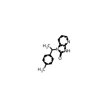 Cc1ccc(C(C)n2c(=O)[nH]c3ncccc32)cc1